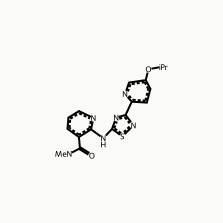 CNC(=O)c1cccnc1Nc1nc(-c2ccc(OC(C)C)cn2)ns1